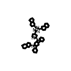 c1ccc2cc(-c3nc(-c4ccnc(-n5c6ccccc6c6cc7c8ccccc8n(-c8ccc9ccccc9c8)c7cc65)c4)nc(-c4ccc5ccccc5c4)n3)ccc2c1